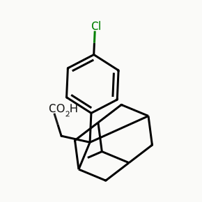 CC1C2CC3CC1CC(C2)C3(CC(=O)O)c1ccc(Cl)cc1